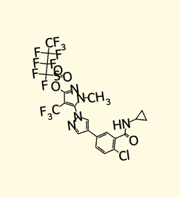 Cn1nc(OS(=O)(=O)C(F)(F)C(F)(F)C(F)(F)C(F)(F)F)c(C(F)(F)F)c1-n1cc(-c2ccc(Cl)c(C(=O)NC3CC3)c2)cn1